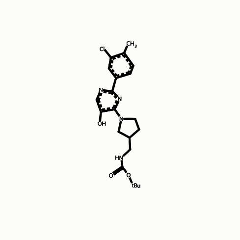 Cc1ccc(-c2ncc(O)c(N3CCC(CNC(=O)OC(C)(C)C)C3)n2)cc1Cl